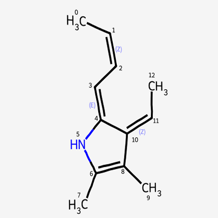 C\C=C/C=c1/[nH]c(C)c(C)/c1=C/C